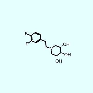 O[C@H]1[C@H](O)CN(CCc2ccc(F)c(F)c2)C[C@@H]1O